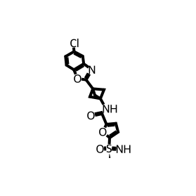 C[S@](=N)(=O)c1ccc(C(=O)NC23CC(c4nc5cc(Cl)ccc5o4)(C2)C3)o1